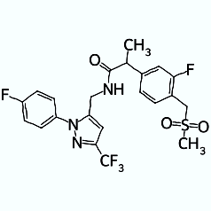 CC(C(=O)NCc1cc(C(F)(F)F)nn1-c1ccc(F)cc1)c1ccc(CS(C)(=O)=O)c(F)c1